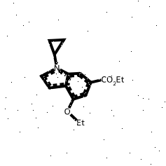 CCOC(=O)c1cc(OCC)c2ccn(C3CC3)c2c1